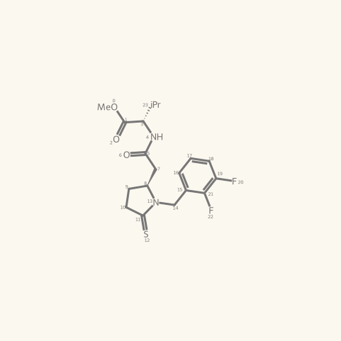 COC(=O)[C@@H](NC(=O)C[C@@H]1CCC(=S)N1Cc1cccc(F)c1F)C(C)C